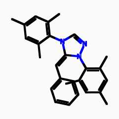 Cc1cc(C)c(N2C=NN(c3c(C)cc(C)cc3C)/C2=C\c2ccccc2)c(C)c1